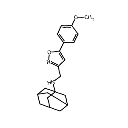 COc1ccc(-c2cc(CNC34CC5CC(CC(C5)C3)C4)no2)cc1